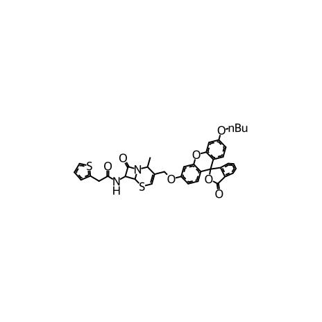 CCCCOc1ccc2c(c1)Oc1cc(OCC3=CSC4C(NC(=O)Cc5cccs5)C(=O)N4C3C)ccc1C21OC(=O)c2ccccc21